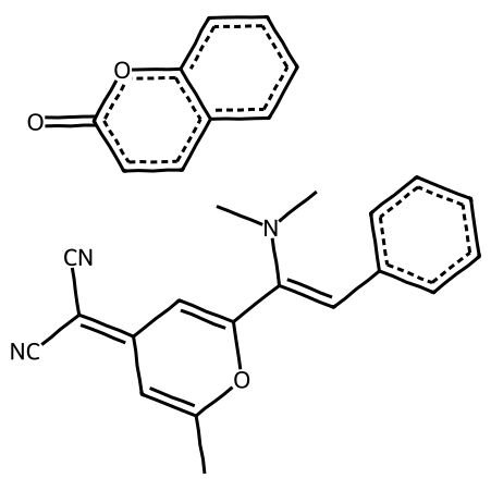 CC1=CC(=C(C#N)C#N)C=C(C(=Cc2ccccc2)N(C)C)O1.O=c1ccc2ccccc2o1